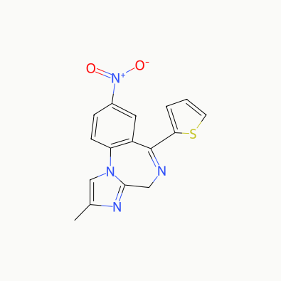 Cc1cn2c(n1)CN=C(c1cccs1)c1cc([N+](=O)[O-])ccc1-2